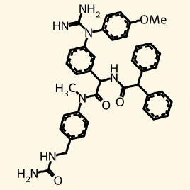 COc1ccc(N(C(=N)N)c2cccc(C(NC(=O)C(c3ccccc3)c3ccccc3)C(=O)N(C)c3ccc(CNC(N)=O)cc3)c2)cc1